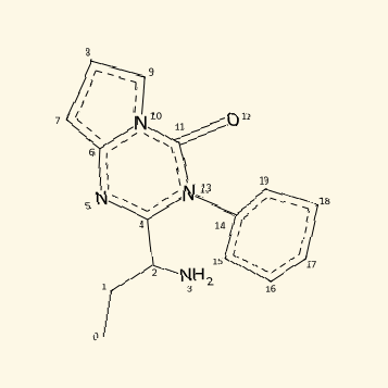 CCC(N)c1nc2cccn2c(=O)n1-c1ccccc1